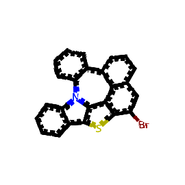 Brc1cc2cccc3c4ccccc4n4c5ccccc5c5sc1c(c23)c54